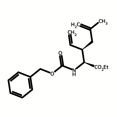 C=C[C@@H](CC(=C)C)[C@H](NC(=O)OCc1ccccc1)C(=O)OCC